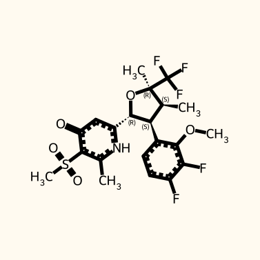 COc1c([C@H]2[C@H](c3cc(=O)c(S(C)(=O)=O)c(C)[nH]3)O[C@@](C)(C(F)(F)F)[C@H]2C)ccc(F)c1F